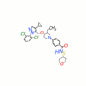 CCC1CN(c2ccc(C(=O)NSC3CCOCC3)cc2)CCC1OCc1c(C2CC2)cnn1-c1c(Cl)cccc1Cl